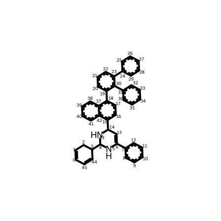 C1=CCC(C2NC(c3ccccc3)=CC(c3ccc(-c4cccc(-c5ccccc5)c4-c4ccccc4)c4ccccc34)N2)C=C1